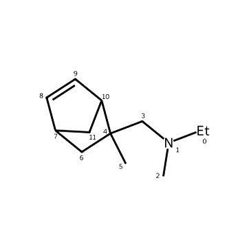 CCN(C)CC1(C)CC2C=CC1C2